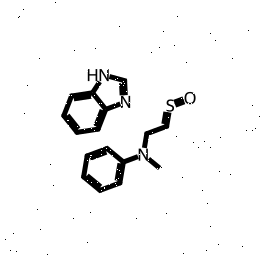 CN(CC=S=O)c1ccccc1.c1ccc2[nH]cnc2c1